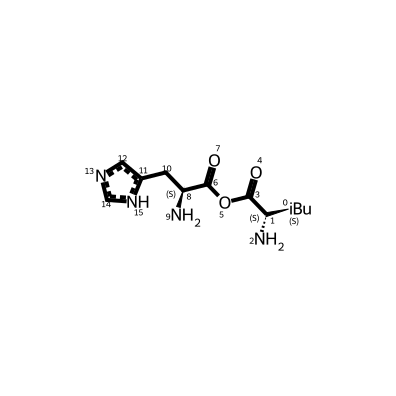 CC[C@H](C)[C@H](N)C(=O)OC(=O)[C@@H](N)Cc1cnc[nH]1